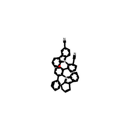 N#Cc1ccc2c(c1)c1ccccc1n2-c1c(C#N)cccc1-c1cccc(-c2c#cccc2)c1-n1c2c(c3ccccc31)C=CCC2